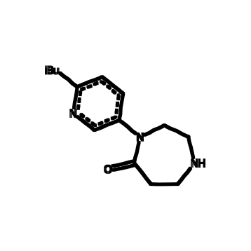 CCC(C)c1ccc(N2CCNCCC2=O)cn1